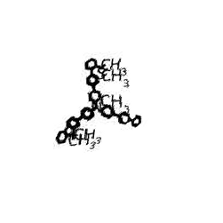 CCC1=C(c2ccc(C3C=CC(N(c4ccc(-c5ccc6c(c5)C(C)(C)C5=C6C=CCC5)cc4)C4C=CC(C5=CCC(C6C=CC=CC6)C=C5)=CC4)C(C)C3)cc2SC)C=CCC1